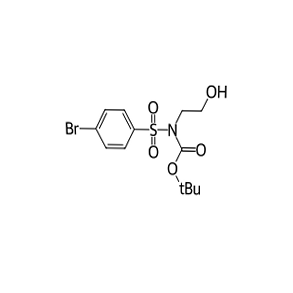 CC(C)(C)OC(=O)N(CCO)S(=O)(=O)c1ccc(Br)cc1